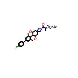 CO/N=C(\C)C(=O)N1CC2(CC(=O)C(c3c(C)cc(-c4ccc(F)cc4)cc3C)C(=O)C2)C1